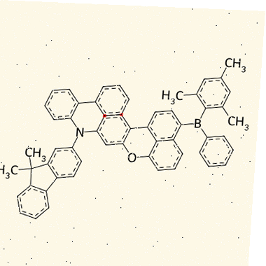 Cc1cc(C)c(B(c2ccccc2)c2ccc3c4c(cccc24)Oc2cc(N(c4ccc5c(c4)C(C)(C)c4ccccc4-5)c4ccccc4-c4ccccc4)ccc2-3)c(C)c1